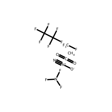 C.FC(F)(F)C(F)(F)F.FC(F)(F)F.FN(F)F.N#[N+][O-].O=C=O